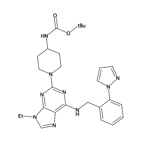 CCn1cnc2c(NCc3ccccc3-n3cccn3)nc(N3CCC(NC(=O)OC(C)(C)C)CC3)nc21